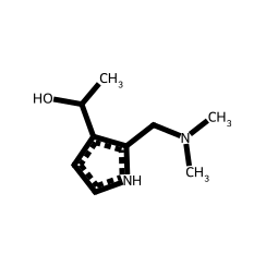 CC(O)c1cc[nH]c1CN(C)C